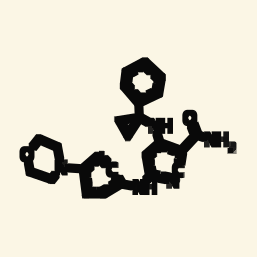 NC(=O)c1cnc(Nc2ccc(N3CCOCC3)cc2)cc1NC1(c2ccccc2)CC1